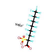 O=C([O-])C(F)(C(F)(F)C(F)(F)C(F)(F)C(F)(F)C(F)(F)C(F)(F)F)S(=O)(=O)[O-].[Na+].[Na+]